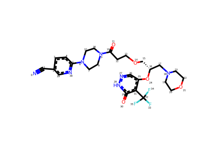 N#Cc1ccc(N2CCN(C(=O)CCOC[C@H](CN3CCOCC3)Oc3cn[nH]c(=O)c3C(F)(F)F)CC2)nc1